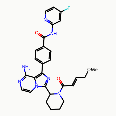 COC/C=C/C(=O)N1CCCCC1c1nc(-c2ccc(C(=O)Nc3cc(F)ccn3)cc2)c2c(N)nccn12